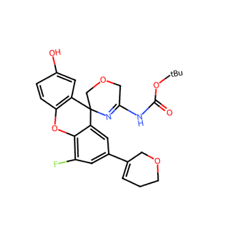 CC(C)(C)OC(=O)NC1=NC2(COC1)c1cc(O)ccc1Oc1c(F)cc(C3=CCCOC3)cc12